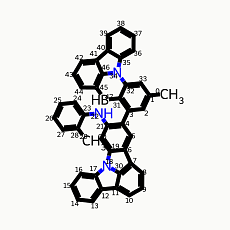 Cc1cc(-c2cc3c4cccc5c6ccccc6n(c3cc2Nc2ccccc2C)c54)c2c(c1)-n1c3ccccc3c3cccc(c31)B2